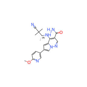 COc1ccc(-c2cc3c(N[C@H](C)C(C)(C)C#N)c(C(N)=O)cnn3c2)cn1